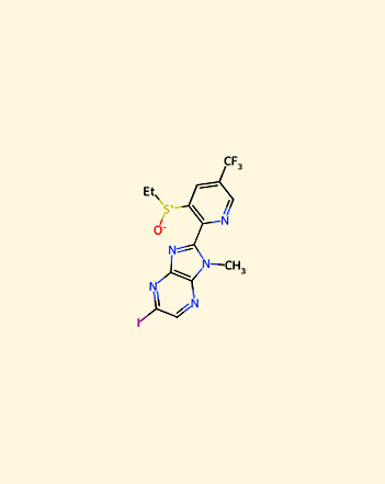 CC[S+]([O-])c1cc(C(F)(F)F)cnc1-c1nc2nc(I)cnc2n1C